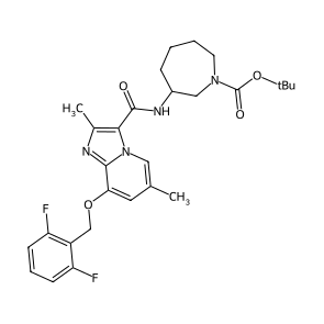 Cc1cc(OCc2c(F)cccc2F)c2nc(C)c(C(=O)NC3CCCCN(C(=O)OC(C)(C)C)C3)n2c1